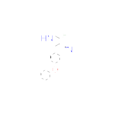 N#CC1=C(c2ccc(Oc3ccccc3)cc2)CNC=C1F